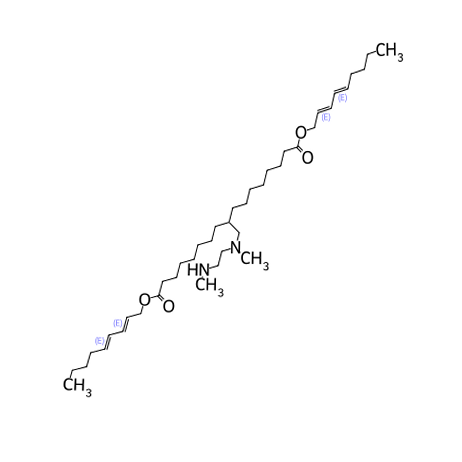 CCCC/C=C/C=C/COC(=O)CCCCCCCC(CCCCCCCC(=O)OC/C=C/C=C/CCCC)CN(C)CCNC